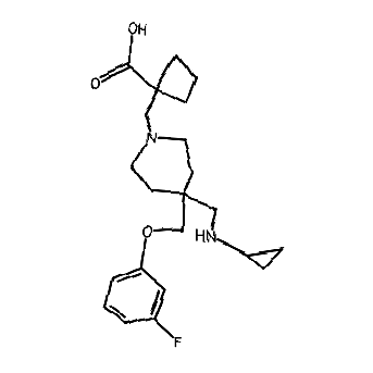 O=C(O)C1(CN2CCC(CNC3CC3)(COc3cccc(F)c3)CC2)CCC1